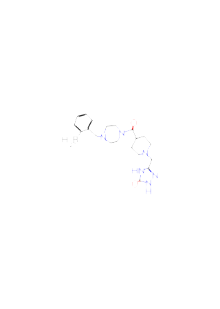 Bc1ccccc1CN1CCN(C(=O)C2CCN(Cc3n[nH]c(=O)[nH]3)CC2)CC1